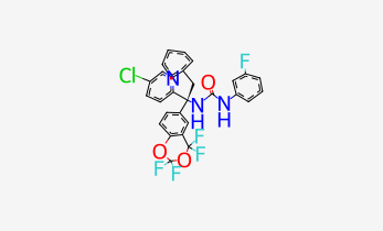 O=C(Nc1cccc(F)c1)N[C@](Cc1ccccc1)(c1ccc2c(c1)C(F)(F)OC(F)(F)O2)c1ccc(Cl)cn1